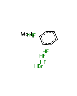 Br.F.F.F.F.F.[MgH2].c1ccccc1